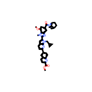 COC(=O)c1ccc2cc(-c3ccc4cc(-c5nc6cc(C(=O)N7CC8CCC7C8C)cc(OC)c6n5C)n(CC5CC5)c4n3)ccc2n1